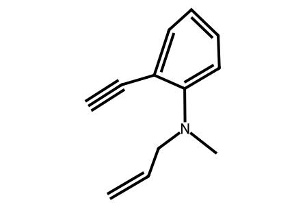 C#Cc1ccccc1N(C)CC=C